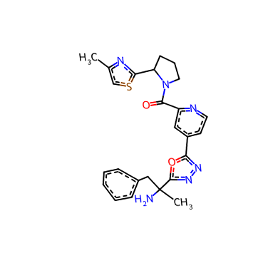 Cc1csc(C2CCCN2C(=O)c2cc(-c3nnc(C(C)(N)Cc4ccccc4)o3)ccn2)n1